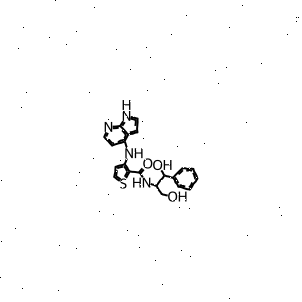 O=C(NC(CO)C(O)c1ccccc1)c1sccc1Nc1ccnc2[nH]ccc12